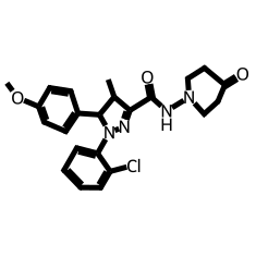 COc1ccc(C2C(C)C(C(=O)NN3CCC(=O)CC3)=NN2c2ccccc2Cl)cc1